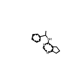 CC(Nc1ncnc2c1CCC2)c1ccccc1